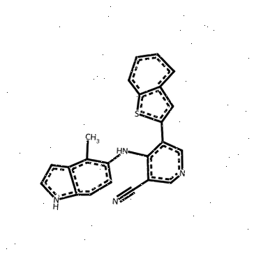 Cc1c(Nc2c(C#N)cncc2-c2cc3ccccc3s2)ccc2[nH]ccc12